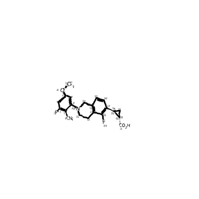 N#Cc1c(F)cc(OC(F)(F)F)cc1N1CCc2c(ccc([C@H]3C[C@@H]3C(=O)O)c2F)C1